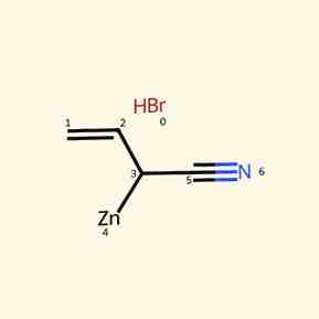 Br.C=C[CH]([Zn])C#N